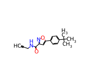 C#CCNC(=O)c1cc(-c2ccc(C(C)(C)C)cc2)on1